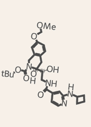 COCOc1ccc2c(c1)CN(C(=O)OC(C)(C)C)[C@@](O)([C@H](O)CNC(=O)c1ccnc(NC3CCC3)c1)C2